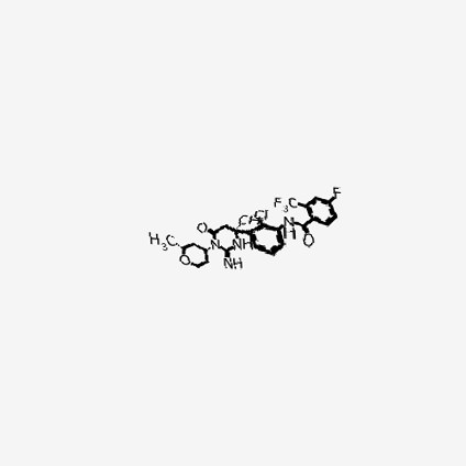 C[C@@H]1C[C@H](N2C(=N)N[C@](C)(c3cccc(NC(=O)c4ccc(F)cc4C(F)(F)F)c3Cl)CC2=O)CCO1